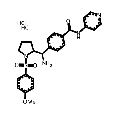 COc1ccc(S(=O)(=O)N2CCCC2C(N)c2ccc(C(=O)Nc3ccncc3)cc2)cc1.Cl.Cl